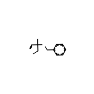 CCC(C)(C=O)OCc1ccccc1